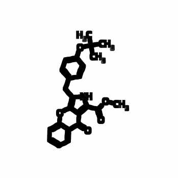 COC(=O)c1[nH]c(Cc2ccc(OC(C)(C)C)cc2)c2oc3ccccc3c(=O)c12